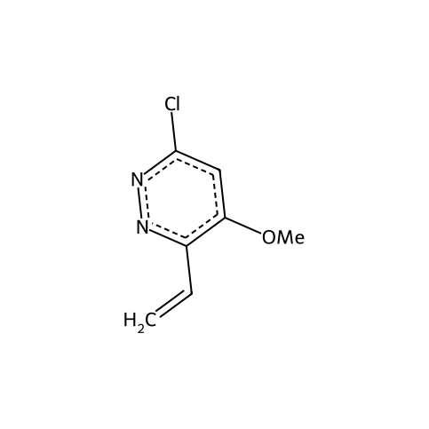 C=Cc1nnc(Cl)cc1OC